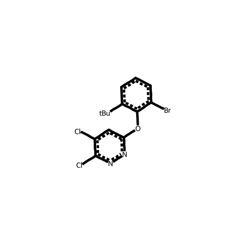 CC(C)(C)c1cccc(Br)c1Oc1cc(Cl)c(Cl)nn1